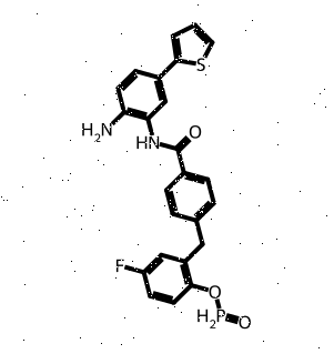 Nc1ccc(-c2cccs2)cc1NC(=O)c1ccc(Cc2cc(F)ccc2O[PH2]=O)cc1